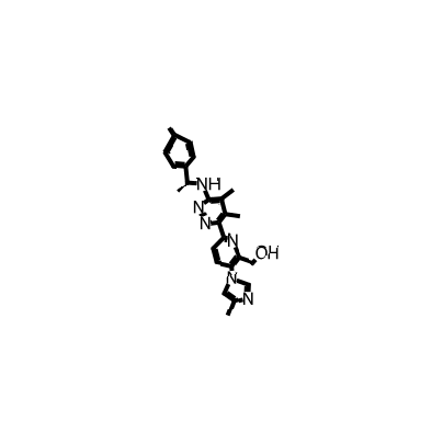 Cc1ccc([C@H](C)Nc2nnc(-c3ccc(-n4cnc(C)c4)c(CO)n3)c(C)c2C)cc1